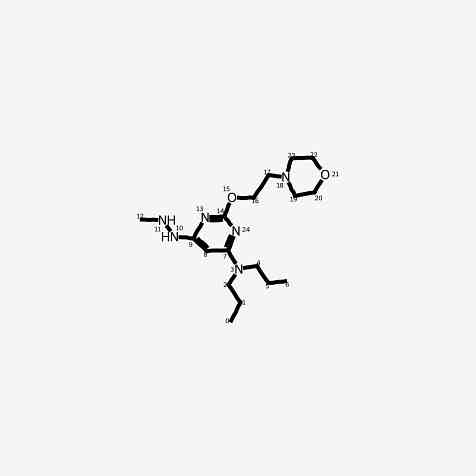 CCCN(CCC)c1cc(NNC)nc(OCCN2CCOCC2)n1